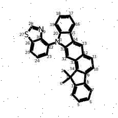 CC1(C)c2ccccc2-c2ccc3cc4c5ccccc5n(-c5cccc6scnc56)c4cc3c21